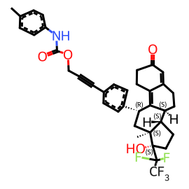 Cc1ccc(NC(=O)OCC#Cc2ccc([C@H]3C[C@@]4(C)[C@@H](CC[C@@]4(O)C(F)(F)C(F)(F)F)[C@@H]4CCC5=CC(=O)CCC5=C43)cc2)cc1